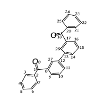 O=C(c1ccccc1)c1cccc(-c2cccc(C(=O)c3ccccc3)c2)c1